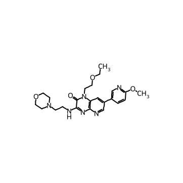 CCOCCn1c(=O)c(NCCN2CCOCC2)nc2ncc(-c3ccc(OC)nc3)cc21